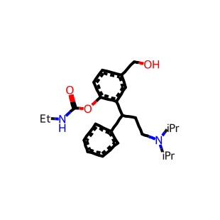 CCNC(=O)Oc1ccc(CO)cc1C(CCN(C(C)C)C(C)C)c1ccccc1